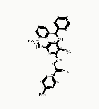 CCOC(=O)Nc1cc(NC(c2ccccc2)c2ccccc2)c([N+](=O)[O-])c(OCC(=O)c2ccc(Br)cc2)n1